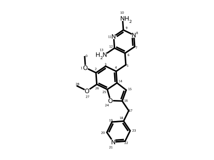 COc1cc(Cc2cnc(N)nc2N)c2cc(Cc3ccncc3)oc2c1OC